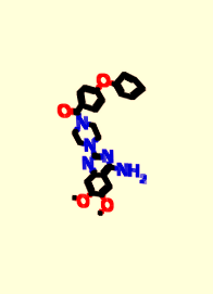 COc1cc2nc(N3CCN(C(=O)c4ccc(Oc5ccccc5)cc4)CC3)nc(N)c2cc1OC